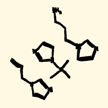 C=CCn1ccnc1.C[Si](C)(C)n1ccnc1.NCCCn1ccnc1